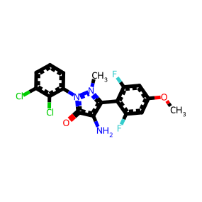 COc1cc(F)c(-c2c(N)c(=O)n(-c3cccc(Cl)c3Cl)n2C)c(F)c1